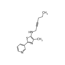 CCCC#CCNc1sc(-c2cccnc2)nc1C